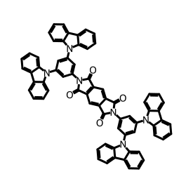 O=c1c2cc3c(=O)n(-c4cc(-n5c6ccccc6c6ccccc65)cc(-n5c6ccccc6c6ccccc65)c4)c(=O)c3cc2c(=O)n1-c1cc(-n2c3ccccc3c3ccccc32)cc(-n2c3ccccc3c3ccccc32)c1